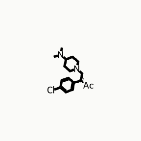 CC(=O)[C@H](CN1CCC(N(C)C)CC1)c1ccc(Cl)cc1